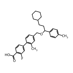 Cc1ccc(C(CCC2CCCCC2)OCc2ccc(-c3ccc(C(=O)O)c(F)c3)c(C)c2)cc1